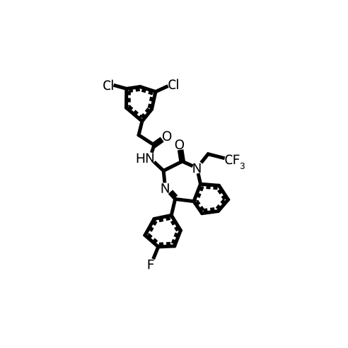 O=C(Cc1cc(Cl)cc(Cl)c1)NC1N=C(c2ccc(F)cc2)c2ccccc2N(CC(F)(F)F)C1=O